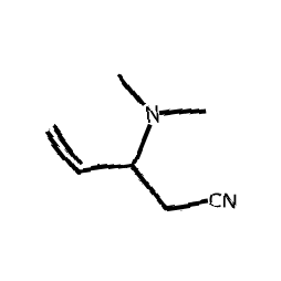 C=CC(CC#N)N(C)C